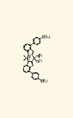 CCCC1(CCC)C2=Cc3c(-c4ccc(C(C)(C)C)cc4)cccc3[CH]2[Hf]([CH3])([CH3])[CH]2C1=Cc1c(-c3ccc(C(C)(C)C)cc3)cccc12